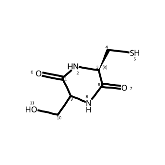 O=C1N[C@@H](CS)C(=O)NC1CO